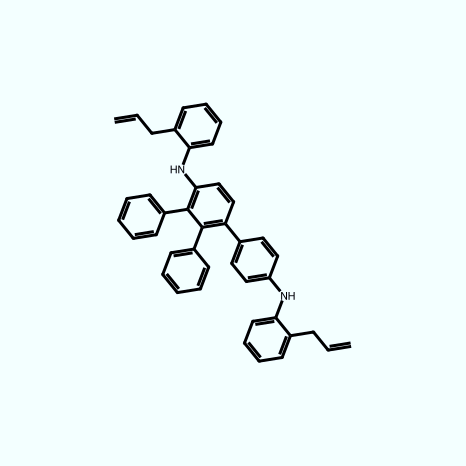 C=CCc1ccccc1Nc1ccc(-c2ccc(Nc3ccccc3CC=C)c(-c3ccccc3)c2-c2ccccc2)cc1